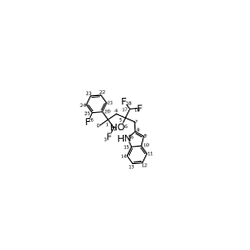 CC(CF)(CC(O)(Cc1cc2ccccc2[nH]1)C(F)F)c1ccccc1F